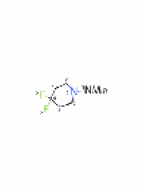 CNN1CCC(F)(F)CC1